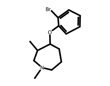 CC1CN(C)CCCC1Oc1ccccc1Br